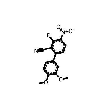 COc1ccc(-c2ccc([N+](=O)[O-])c(F)c2C#N)cc1OC